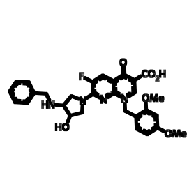 COc1ccc(Cn2cc(C(=O)O)c(=O)c3cc(F)c(N4CC(O)C(NCc5ccccc5)C4)nc32)c(OC)c1